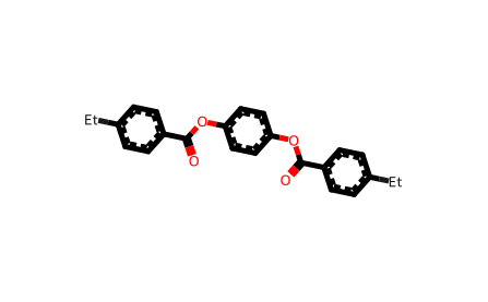 CCc1ccc(C(=O)Oc2ccc(OC(=O)c3ccc(CC)cc3)cc2)cc1